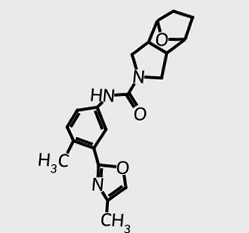 Cc1coc(-c2cc(NC(=O)N3CC4C5CCC(O5)C4C3)ccc2C)n1